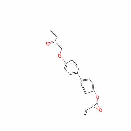 C=CC(=O)COc1ccc(-c2ccc(OC3OC3C=C)cc2)cc1